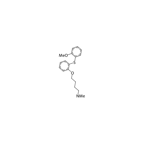 CNCCCCOc1ccccc1Sc1ccccc1OC